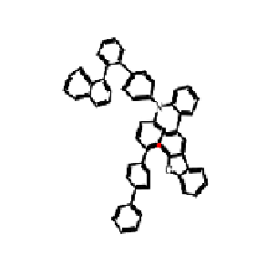 c1ccc(-c2ccc(-c3ccc(N(c4ccc(-c5ccccc5-c5cccc6ccccc56)cc4)c4ccccc4-c4ccc5oc6ccccc6c5c4)cc3)cc2)cc1